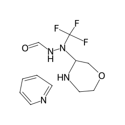 O=CNN(C1COCCN1)C(F)(F)F.c1ccncc1